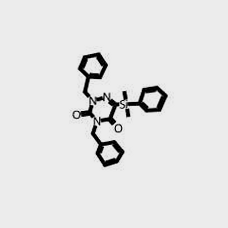 C[Si](C)(c1ccccc1)c1nn(Cc2ccccc2)c(=O)n(Cc2ccccc2)c1=O